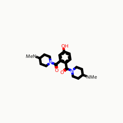 CNC1CCN(C(=O)c2ccc(O)cc2C(=O)N2CCC(NC)CC2)CC1